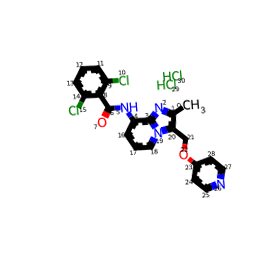 Cc1nc2c(NC(=O)c3c(Cl)cccc3Cl)cccn2c1COc1ccncc1.Cl.Cl